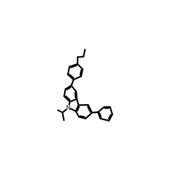 CCCc1ccc(-c2ccc3c(c2)c2cc(-c4ccccc4)ccc2n3C(C)C)cc1